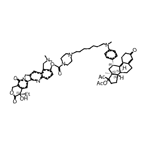 CC[C@@]1(O)C(=O)OCc2c1cc1n(c2=O)Cc2cc3c(CN(C)C)c(OC(=O)N4CCN(CCCCCCCN(C)c5ccc([C@H]6C[C@@]7(C)[C@@H](CC[C@]7(OC(C)=O)C(C)=O)[C@@H]7CCC8=CC(=O)CCC8=C76)cc5)CC4)ccc3nc2-1